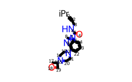 CC(C)C#CCNC(=O)n1cnc2c(N3CCN(C4COC4)CC3)cccc21